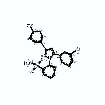 NS(=O)(=O)c1ccccc1-n1nc(-c2ccc(Cl)cc2)cc1-c1cccc(Cl)c1